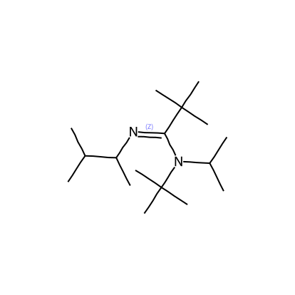 CC(C)C(C)/N=C(\N(C(C)C)C(C)(C)C)C(C)(C)C